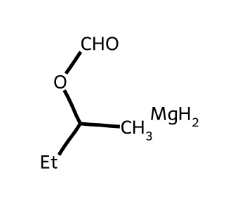 CCC(C)OC=O.[MgH2]